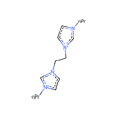 CCCn1cc[n+](CCn2cc[n+](CCC)c2)c1